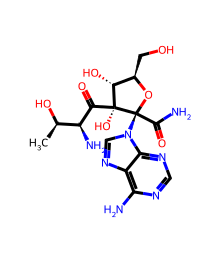 C[C@@H](O)[C@H](N)C(=O)[C@@]1(O)[C@H](O)[C@@H](CO)O[C@@]1(C(N)=O)n1cnc2c(N)ncnc21